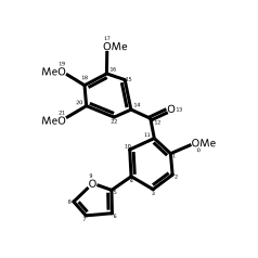 COc1ccc(-c2ccco2)cc1C(=O)c1cc(OC)c(OC)c(OC)c1